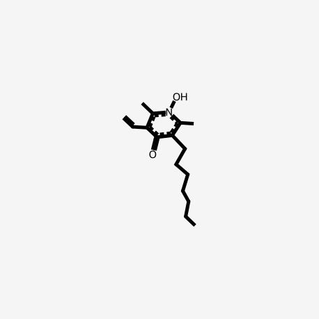 C=Cc1c(C)n(O)c(C)c(CCCCCCC)c1=O